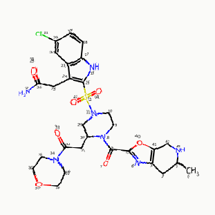 CC1Cc2nc(C(=O)N3CCN(S(=O)(=O)c4[nH]c5ccc(Cl)cc5c4CC(N)=O)CC3CC(=O)N3CCOCC3)oc2CN1